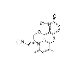 C=C1C=C(C)c2cc3ccc(=O)n(CC)c3c3c2N1[C@@H](CN)CO3